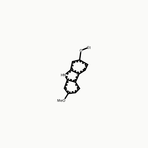 CCOc1ccc2c(c1)[nH]c1cc(OC)ccc12